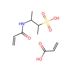 C=CC(=O)NC(C)C(C)S(=O)(=O)O.C=CC(=O)O